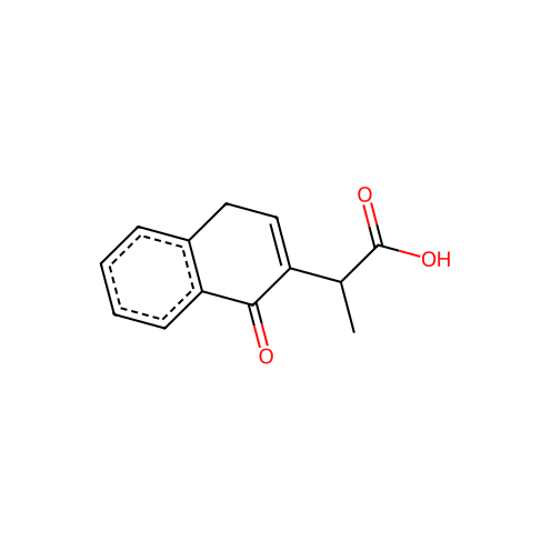 CC(C(=O)O)C1=CCc2ccccc2C1=O